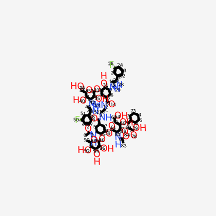 CC(=O)NC1CC(C(=O)NCCNC(=O)C2CC(n3cc(-c4cccc(F)c4)nn3)C(O)[C@H](O[C@@H]3OC(CO)[C@H](O)C(n4cc(-c5cccc(F)c5)nn4)C3O)C2)C[C@@H](O[C@@H]2OC(CO)[C@H](O)C(O[C@@H](CC3CCCCC3)C(=O)O)C2NC(C)=O)C1O[C@@H]1OC(C)[C@@H](O)C(O)C1O